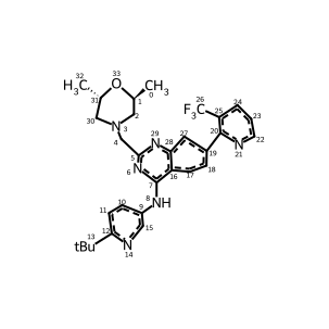 C[C@H]1CN(Cc2nc(Nc3ccc(C(C)(C)C)nc3)c3ccc(-c4ncccc4C(F)(F)F)cc3n2)C[C@H](C)O1